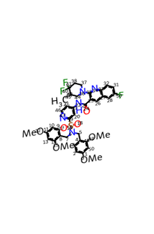 COc1ccc(CN(Cc2ccc(OC)cc2OC)S(=O)(=O)c2cc(NC(=O)c3cc4cc(F)ccc4nc3N3CCC(F)(F)[C@@H](C)C3)ccn2)c(OC)c1